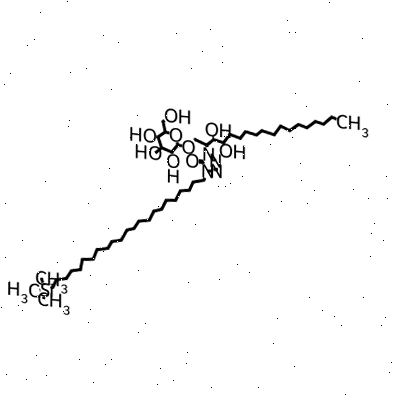 CCCCCCCCCCCCCC[C@@H](O)[C@@H](O)C(COC1OC(CO)C(O)C(O)C1O)n1nnn(CCCCCCCCCCCCCCCCCCCCCCC[Si](C)(C)C)c1=O